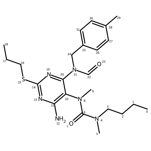 CCCCN(C)C(=O)N(C)c1c(N)nc(SCCC)nc1N(C=O)Cc1ccc(C)cc1